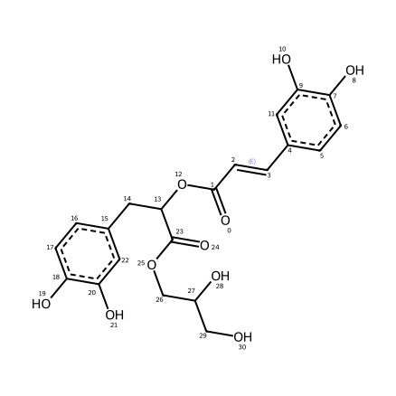 O=C(/C=C/c1ccc(O)c(O)c1)OC(Cc1ccc(O)c(O)c1)C(=O)OCC(O)CO